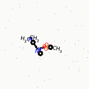 Cc1ccc(S(=O)(=O)OCCn2c(C#Cc3ccc(N(C)C)cc3)nc3ccccc32)cc1